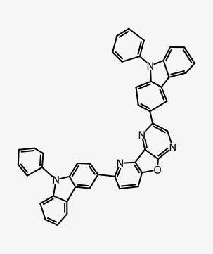 c1ccc(-n2c3ccccc3c3cc(-c4ccc5oc6ncc(-c7ccc8c(c7)c7ccccc7n8-c7ccccc7)nc6c5n4)ccc32)cc1